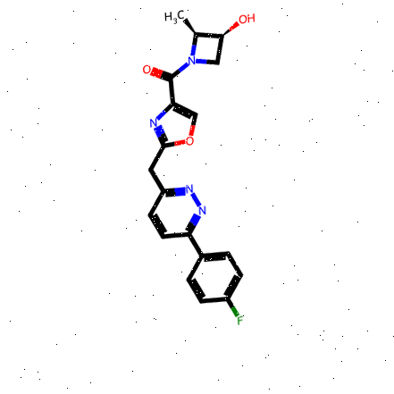 C[C@H]1[C@@H](O)CN1C(=O)c1coc(Cc2ccc(-c3ccc(F)cc3)nn2)n1